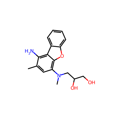 Cc1cc(N(C)CC(O)CO)c2oc3ccccc3c2c1N